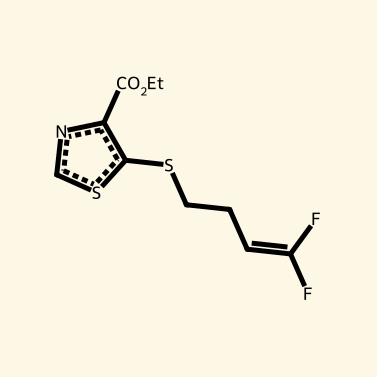 CCOC(=O)c1ncsc1SCCC=C(F)F